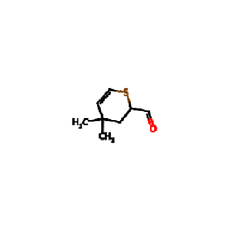 CC1(C)C=CSC(C=O)C1